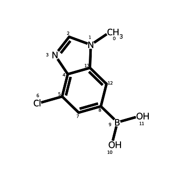 Cn1cnc2c(Cl)cc(B(O)O)cc21